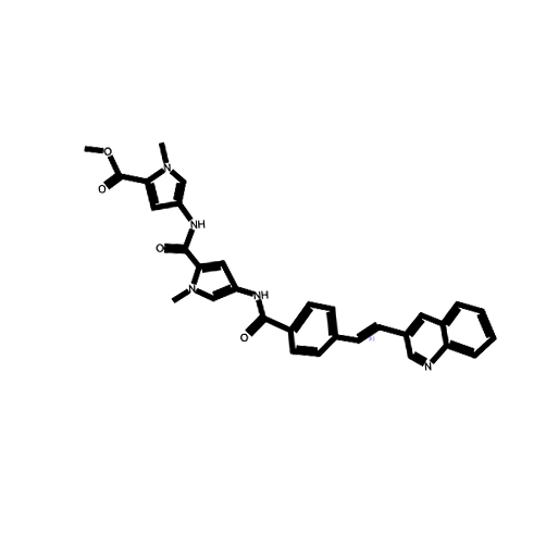 COC(=O)c1cc(NC(=O)c2cc(NC(=O)c3ccc(/C=C/c4cnc5ccccc5c4)cc3)cn2C)cn1C